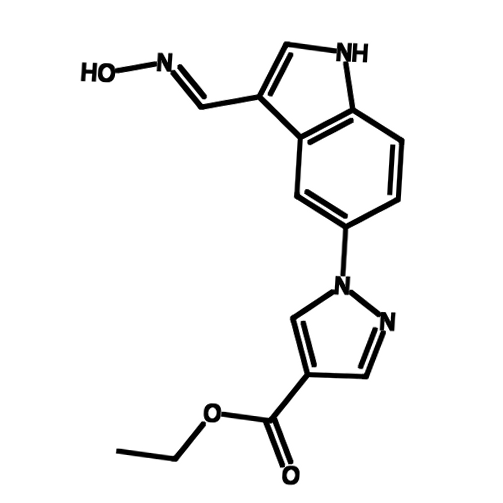 CCOC(=O)c1cnn(-c2ccc3[nH]cc(C=NO)c3c2)c1